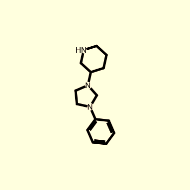 c1ccc(N2CCN(C3CCCNC3)C2)cc1